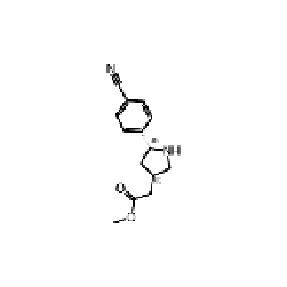 COC(=O)C[C@@H]1CN[C@@H](c2ccc(C#N)cc2)C1